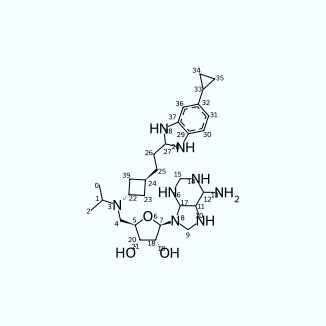 CC(C)N(C[C@H]1O[C@@H](N2CNC3C(N)NCNC32)[C@H](O)[C@@H]1O)[C@H]1C[C@H](CCC2Nc3ccc(C4CC4)cc3N2)C1